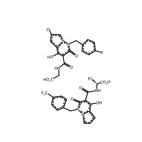 CC[C@H](NC(=O)c1c(O)c2cccn2n(Cc2ccc(C(F)(F)F)cc2)c1=O)C(=O)O.O=C(O)CNC(=O)c1c(O)c2cc(Cl)cn2n(Cc2ccc(F)cc2)c1=O